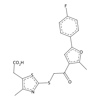 Cc1nc(SCC(=O)c2cc(-c3ccc(F)cc3)oc2C)sc1CC(=O)O